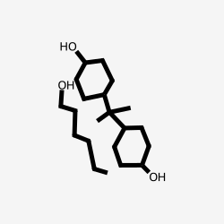 CC(C)(C1CCC(O)CC1)C1CCC(O)CC1.CCCCCCO